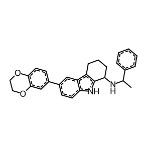 CC(NC1CCCc2c1[nH]c1ccc(-c3ccc4c(c3)OCCO4)cc21)c1ccccc1